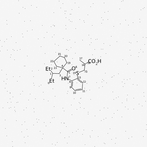 CCC(CC)CC1(C(=O)Nc2ccccc2SCC(C)C(=O)O)CCCCC1